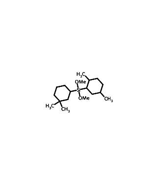 CO[Si](OC)(C1CCCC(C)(C)C1)C1CC(C)CCC1C